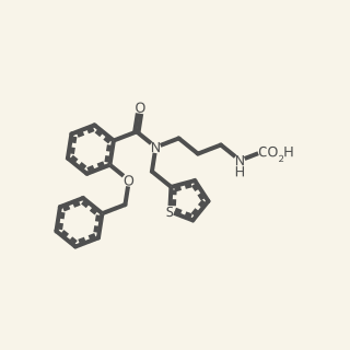 O=C(O)NCCCN(Cc1cccs1)C(=O)c1ccccc1OCc1ccccc1